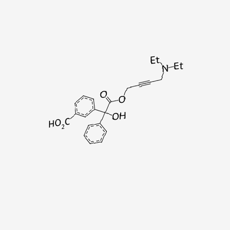 CCN(CC)CC#CCOC(=O)C(O)(c1ccccc1)c1cccc(C(=O)O)c1